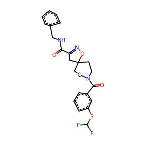 O=C(NCc1ccccc1)C1=NOC2(CCN(C(=O)c3cccc(SC(F)F)c3)CC2)C1